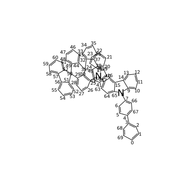 c1ccc(-c2ccc(-n3c4ccccc4c4cc(N(c5ccccc5)c5cccc6c5C5(c7ccccc7-c7ccccc75)c5ccccc5C65c6ccccc6-c6ccccc65)ccc43)cc2)cc1